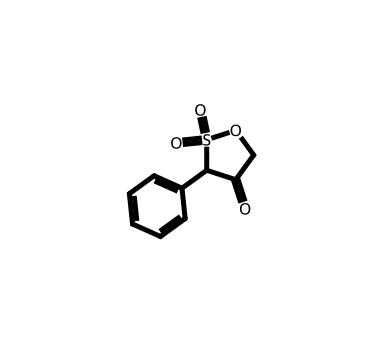 O=C1COS(=O)(=O)C1c1ccccc1